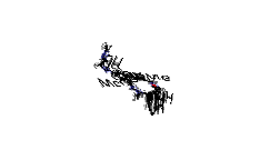 C/C=C/C(O)C(C)/C=C/C(=O)C(C)C(O)C(C)C1OC(=O)C(OC)=C/C(C)=C/C(C)C(O)C(CC)C(O)C(C)C/C(C)=C/C=C/C1OC